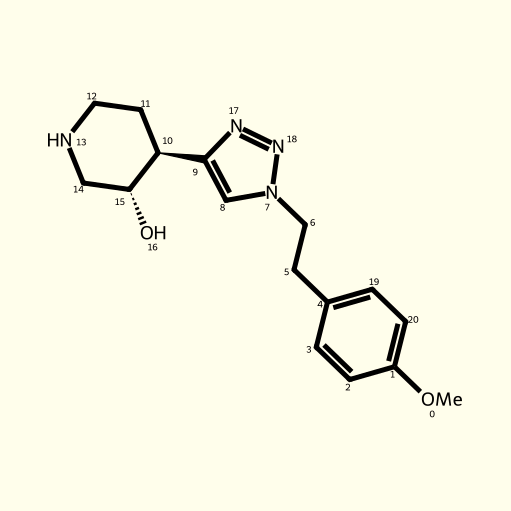 COc1ccc(CCn2cc([C@@H]3CCNC[C@H]3O)nn2)cc1